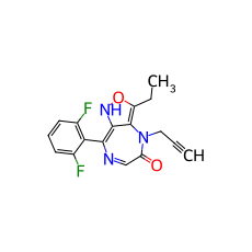 C#CCN1C(=O)C=NC(c2c(F)cccc2F)=C2NOC(CC)=C21